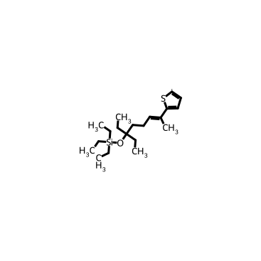 CCC(CC)(CC/C=C(\C)c1cc[c]s1)O[Si](CC)(CC)CC